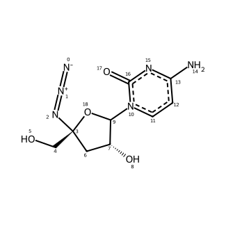 [N-]=[N+]=N[C@@]1(CO)C[C@@H](O)C(n2ccc(N)nc2=O)O1